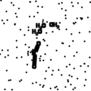 O.O.O.O=[Si]=O